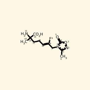 Cc1noc(=O)n1CC(F)=CCCC(C)(N)C(=O)O